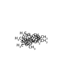 C[SiH2]O[Si](C)(C)O[Si](C)(C)O[Si](C)(C)O[Si](C)(C)O[Si](C)(C)O[Si](C)(C)O[Si](C)(C)C